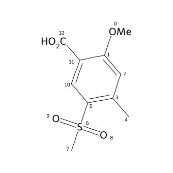 COc1cc(C)c(S(C)(=O)=O)cc1C(=O)O